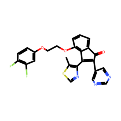 Cc1scnc1C1=C(c2cncnc2)C(=O)c2cccc(OCCOc3ccc(F)c(F)c3)c21